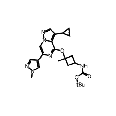 Cn1cc(-c2cn3ncc(C4CC4)c3c(OC3(C)CC(NC(=O)OC(C)(C)C)C3)n2)cn1